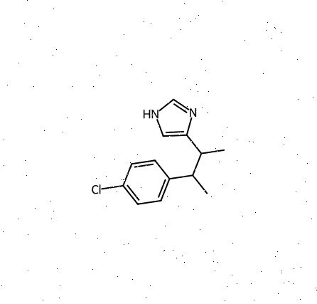 CC(c1ccc(Cl)cc1)C(C)c1c[nH]cn1